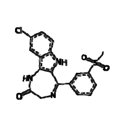 CS(=O)(=O)c1cccc(C2=NCC(=O)Nc3c2[nH]c2ccc(Cl)cc32)c1